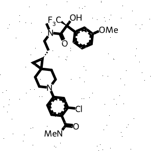 CNC(=O)c1ccc(N2CCC3(CC2)C[C@@H]3CCN(C)C(=O)[C@](O)(c2cccc(OC)c2)C(F)(F)F)cc1Cl